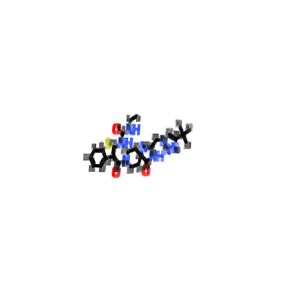 CCNC(=O)Nc1sc2ccccc2c1C(=O)N1CCC2(CC1)N=C(Cn1cc(C(C)(C)C)nn1)NC2=O